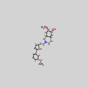 COc1cccc(-c2ccc(CCN3CCc4cc(O)c(OC)cc4C3)s2)c1